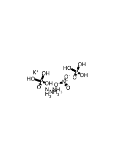 N.N.N.O=P(O)(O)O.O=P(O)(O)O.O=[N+]([O-])[O-].[K+]